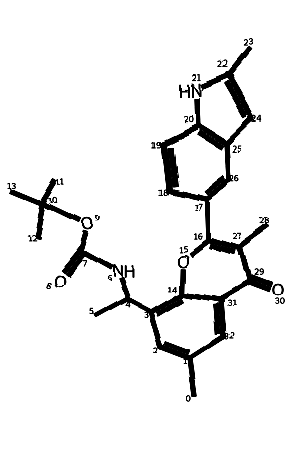 Cc1cc(C(C)NC(=O)OC(C)(C)C)c2oc(-c3ccc4[nH]c(C)cc4c3)c(C)c(=O)c2c1